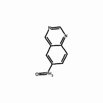 O=[PH2]c1ccc2ncncc2c1